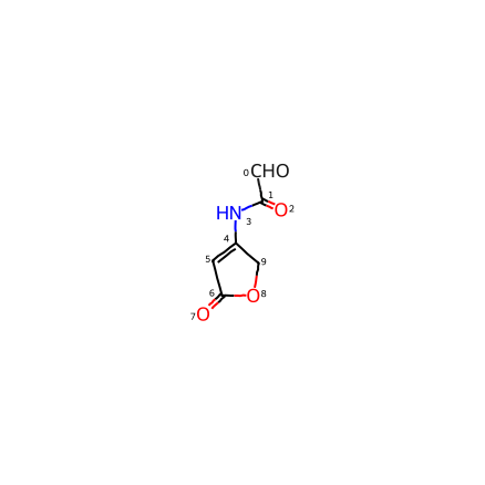 O=CC(=O)NC1=CC(=O)OC1